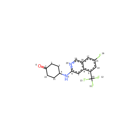 O=C1CCC(Nc2cc3c(C(F)(F)F)cc(F)cc3cn2)CC1